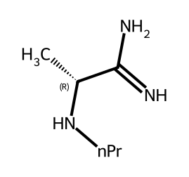 CCCN[C@H](C)C(=N)N